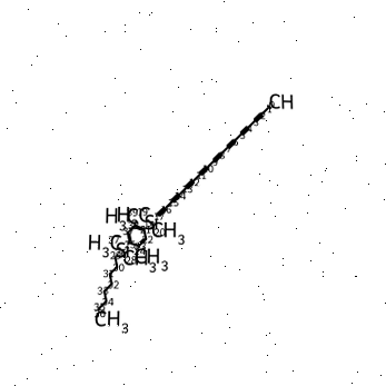 C#CC#CC#CC#CC#CC#CC#CC#CC#C[Si](C)(C)c1cc(C)c([Si](C)(C)CCCCCCCC)cc1C